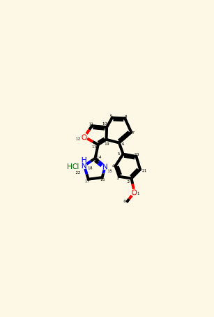 COc1ccc(-c2cccc3coc(C4=NCCN4)c23)cc1.Cl